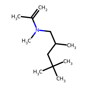 C=C(C)N(C)CC(C)CC(C)(C)C